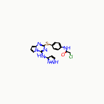 O=C(CCl)Nc1ccc(Sc2nc(Nc3cc[nH]n3)n3cccc3n2)cc1